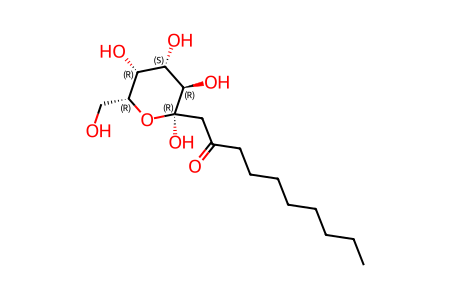 CCCCCCCCC(=O)C[C@@]1(O)O[C@H](CO)[C@H](O)[C@H](O)[C@H]1O